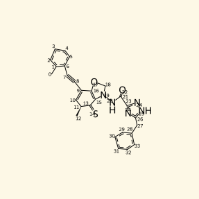 Cc1ccccc1C#CC1=C[C@H](C)C(=S)C2=C1OCN2NC(=O)c1n[nH]c(Cc2ccccc2)n1